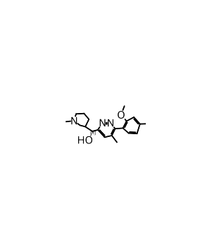 COc1cc(C)ccc1-c1nnc([C@H](O)C2CCCN(C)C2)cc1C